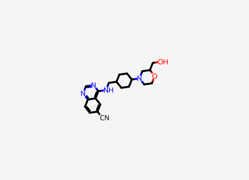 N#Cc1ccc2ncnc(NCC3CCC(N4CCOC(CO)C4)CC3)c2c1